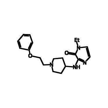 CCn1ccnc(NC2CCN(CCOc3ccccc3)CC2)c1=O